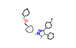 CC1C(c2ccccc2)C(c2ccc(F)cc2)=NN1C[C@H]1CC[C@H](COCc2ccccc2)CC1